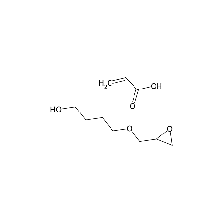 C=CC(=O)O.OCCCCOCC1CO1